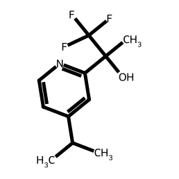 CC(C)c1ccnc(C(C)(O)C(F)(F)F)c1